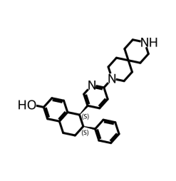 Oc1ccc2c(c1)CC[C@H](c1ccccc1)[C@@H]2c1ccc(N2CCC3(CCNCC3)CC2)nc1